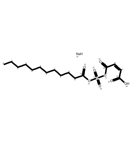 CCCCCCCCCCCC(=O)OS(=O)(=O)OC(=O)/C=C\C(=O)O.[NaH]